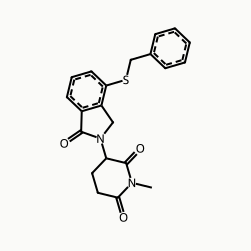 CN1C(=O)CCC(N2Cc3c(SCc4ccccc4)cccc3C2=O)C1=O